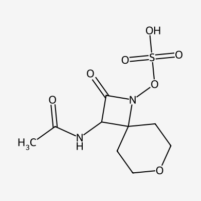 CC(=O)NC1C(=O)N(OS(=O)(=O)O)C12CCOCC2